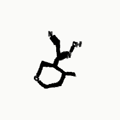 CC1CCOCC1C(C#N)=NO